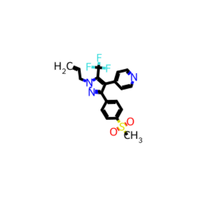 C=CCn1nc(-c2ccc(S(C)(=O)=O)cc2)c(-c2ccncc2)c1C(F)(F)F